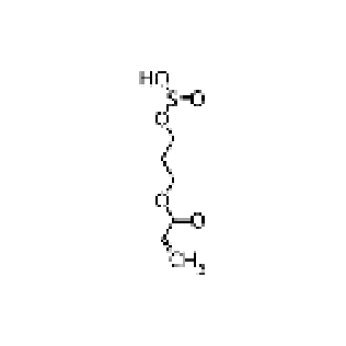 C=CC(=O)OCCCO[Si](=O)O